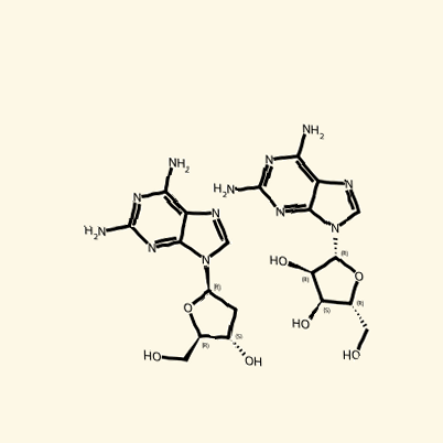 Nc1nc(N)c2ncn([C@@H]3O[C@H](CO)[C@@H](O)[C@H]3O)c2n1.Nc1nc(N)c2ncn([C@H]3C[C@H](O)[C@@H](CO)O3)c2n1